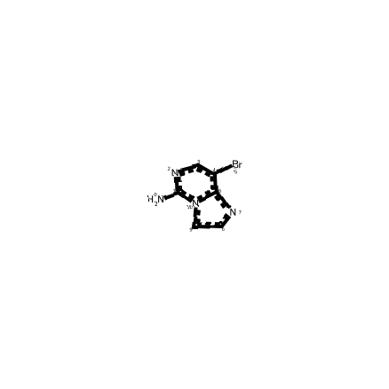 Nc1ncc(Br)c2nccn12